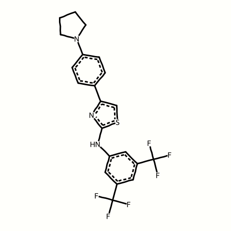 FC(F)(F)c1cc(Nc2nc(-c3ccc(N4CCCC4)cc3)cs2)cc(C(F)(F)F)c1